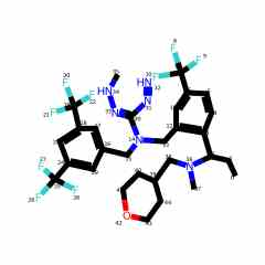 CCC(c1ccc(C(F)(F)F)cc1CN(Cc1cc(C(F)(F)F)cc(C(F)(F)F)c1)/C(N=N)=N/NC)N(C)CC1CCOCC1